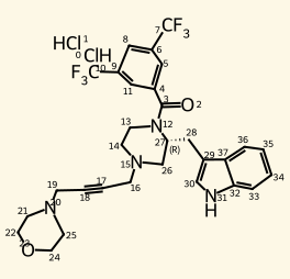 Cl.Cl.O=C(c1cc(C(F)(F)F)cc(C(F)(F)F)c1)N1CCN(CC#CCN2CCOCC2)C[C@H]1Cc1c[nH]c2ccccc12